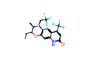 CCC1Oc2cc3[nH]c(=O)cc(C(F)(F)F)c3cc2N(CC(F)(F)F)C1C